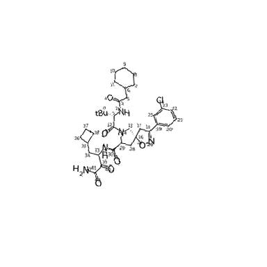 CC(C)(C)[C@H](NC(=O)CC1CCCCC1)C(=O)N1C[C@@]2(CC(c3cccc(Cl)c3)=NO2)C[C@H]1C(=O)NC(CC1CCC1)C(=O)C(N)=O